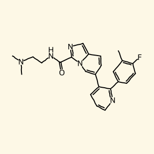 Cc1cc(-c2ncccc2-c2ccc3cnc(C(=O)NCCN(C)C)n3c2)ccc1F